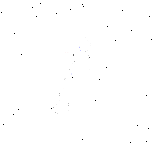 CC(C)(C)OC(=O)C1CCCN1C(=O)CCNC(=O)OCc1ccccc1